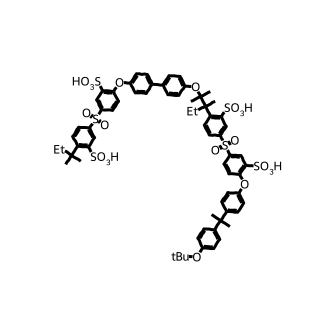 CCC(C)(C)c1ccc(S(=O)(=O)c2ccc(Oc3ccc(-c4ccc(OC(C)(C)C(C)(CC)c5ccc(S(=O)(=O)c6ccc(Oc7ccc(C(C)(C)c8ccc(OC(C)(C)C)cc8)cc7)c(S(=O)(=O)O)c6)cc5S(=O)(=O)O)cc4)cc3)c(S(=O)(=O)O)c2)cc1S(=O)(=O)O